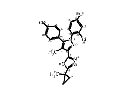 Cc1c(-c2nnc(C3(C)CC3)o2)nn(-c2ccc(Cl)cc2Cl)c1-c1ccc(Cl)cc1